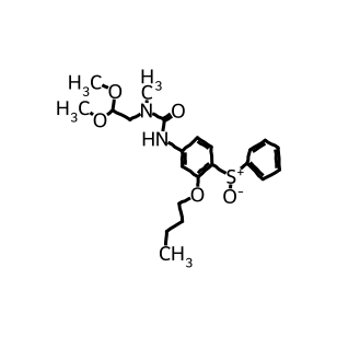 CCCCOc1cc(NC(=O)N(C)CC(OC)OC)ccc1[S+]([O-])c1ccccc1